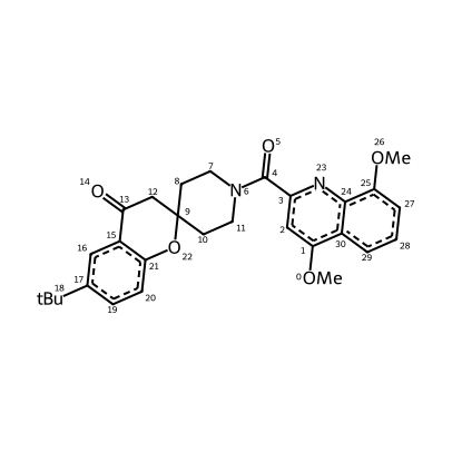 COc1cc(C(=O)N2CCC3(CC2)CC(=O)c2cc(C(C)(C)C)ccc2O3)nc2c(OC)cccc12